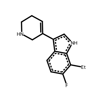 CCc1c(F)ccc2c(C3=CCCNC3)c[nH]c12